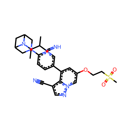 CC(C=N)C(C)N1C2CC1CN(c1ccc(-c3cc(OCCS(C)(=O)=O)cn4ncc(C#N)c34)cn1)C2